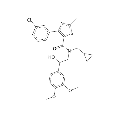 COc1ccc(C(O)CN(CC2CC2)C(=O)c2sc(C)nc2-c2cccc(Cl)c2)cc1OC